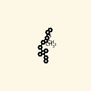 CC1(C)c2cc(-c3cccc(-c4c5ccccc5c(-c5ccc6ccccc6c5)c5ccccc45)c3)ccc2-c2cc3c(cc21)sc1c2ccccc2ccc31